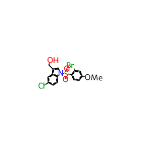 COc1ccc(S(=O)(=O)n2cc(CO)c3cc(Cl)ccc32)c(Br)c1